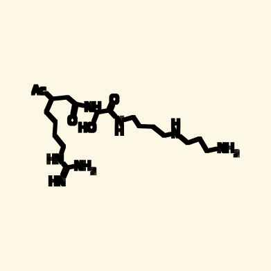 CC(=O)C(CCCCNC(=N)N)CC(=O)NC(O)C(=O)NCCCCNCCCN